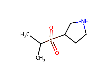 CC(C)S(=O)(=O)C1CCNC1